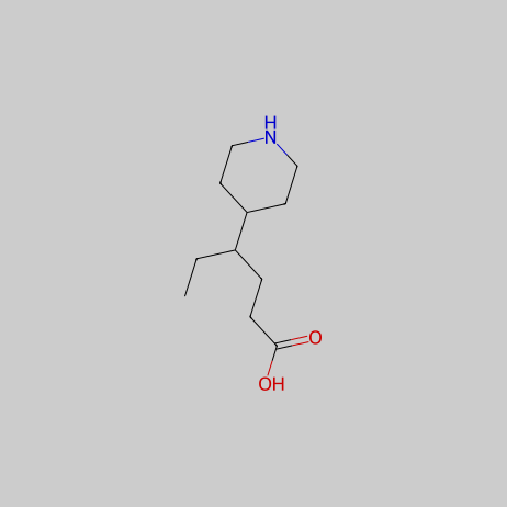 CCC(CCC(=O)O)C1CCNCC1